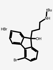 Br.CC(C)(C)NCCCC1(O)c2ccccc2-c2c(Br)cccc21